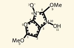 COc1cc2c(o1)[n+]([O-])c(OC)n2O